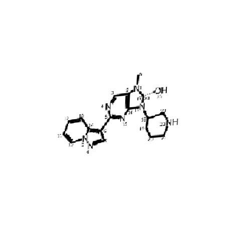 CN1c2cnc(-c3cnn4ccccc34)nc2N(C2CCCNC2)[C@H]1O